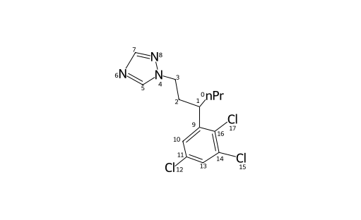 CCCC(CCn1cncn1)c1cc(Cl)cc(Cl)c1Cl